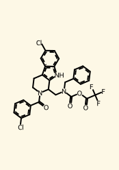 O=C(OC(=O)C(F)(F)F)N(Cc1ccccc1)CC1c2[nH]c3ccc(Cl)cc3c2CCN1C(=O)c1cccc(Cl)c1